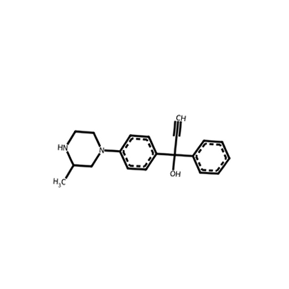 C#CC(O)(c1ccccc1)c1ccc(N2CCNC(C)C2)cc1